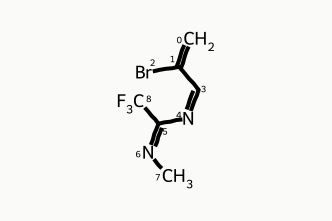 C=C(Br)/C=N\C(=N/C)C(F)(F)F